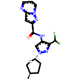 C[C@H]1CC[C@H](n2cc(NC(=O)c3cc4ncccn4n3)c(C(F)F)n2)CC1